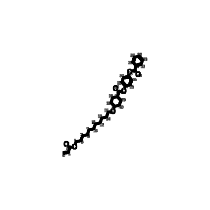 C=CC(=O)OCCCCCCCCCCCOC1CCC(C(=O)Oc2ccc(OC(=O)c3ccccc3)cc2)CC1